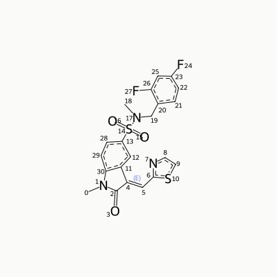 CN1C(=O)/C(=C/c2nccs2)c2cc(S(=O)(=O)N(C)Cc3ccc(F)cc3F)ccc21